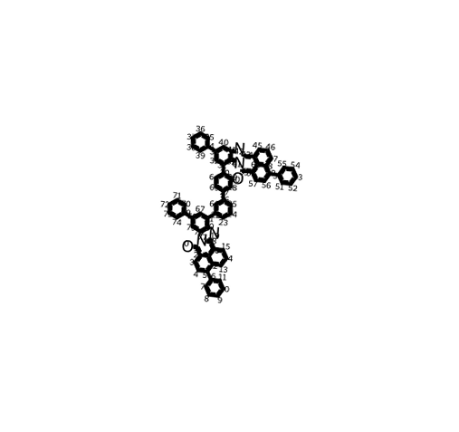 O=c1c2ccc(-c3ccccc3)c3cccc(c32)c2nc3c(-c4cccc(-c5ccc(-c6cc(-c7ccccc7)cc7nc8c9cccc%10c(-c%11ccccc%11)ccc(c(=O)n8c67)c%109)cc5)c4)cc(-c4ccccc4)cc3n12